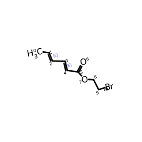 C/C=C/C=C/C(=O)OCCBr